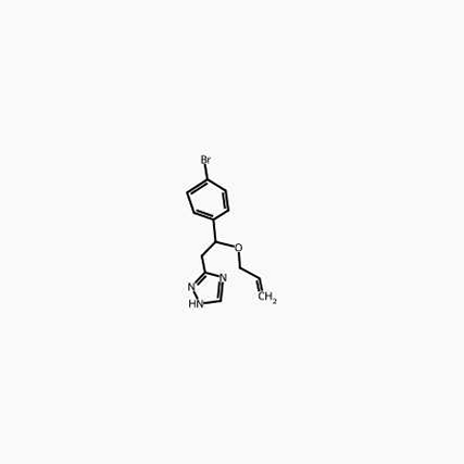 C=CCOC(Cc1nc[nH]n1)c1ccc(Br)cc1